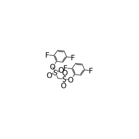 O=S(=O)(CS(=O)(=O)Oc1cc(F)ccc1F)Oc1cc(F)ccc1F